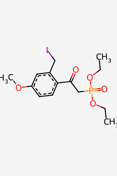 CCOP(=O)(CC(=O)c1ccc(OC)cc1CI)OCC